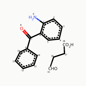 Nc1ccccc1C(=O)c1ccccc1.O=CCCC(=O)O